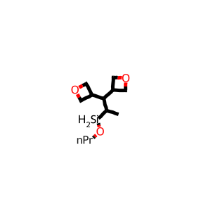 CCCO[SiH2]C(C)C(C1COC1)C1COC1